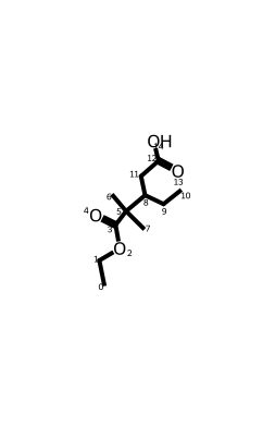 CCOC(=O)C(C)(C)C(CC)CC(=O)O